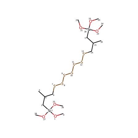 CO[Si](CC(C)CSSSSSSSCC(C)C[Si](OC)(OC)OC)(OC)OC